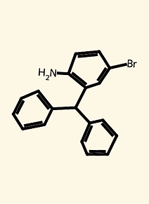 Nc1ccc(Br)cc1C(c1ccccc1)c1ccccc1